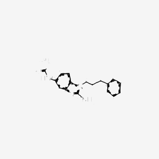 CC(C)(C)OC(=O)Nc1ccc2c(c1)nc(N)n2CCCc1ccccc1